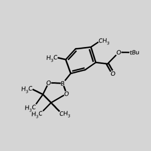 Cc1cc(C)c(C(=O)OC(C)(C)C)cc1B1OC(C)(C)C(C)(C)O1